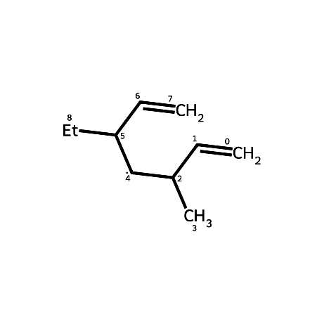 C=CC(C)[CH]C(C=C)CC